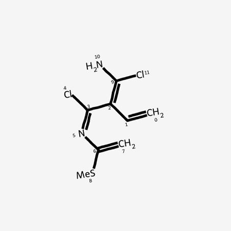 C=CC(/C(Cl)=N\C(=C)SC)=C(/N)Cl